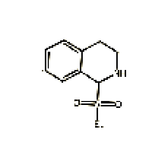 CCS(=O)(=O)C1NCCc2cc[c]cc21